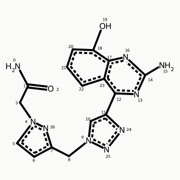 NC(=O)Cn1ccc(Cn2cc(-c3nc(N)nc4c(O)cccc34)nn2)n1